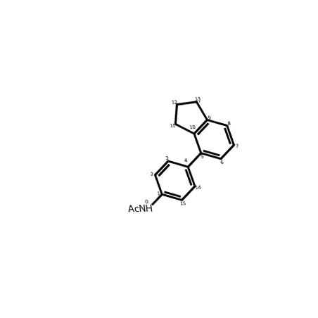 CC(=O)Nc1ccc(-c2cccc3c2CC[CH]3)cc1